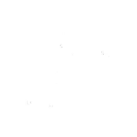 CCC(=O)OCOc1ccc([N+](=O)[O-])c2cccnc12